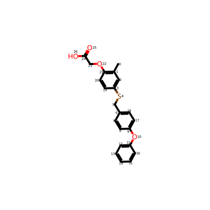 Cc1cc(SCc2ccc(Oc3ccccc3)cc2)ccc1OCC(=O)O